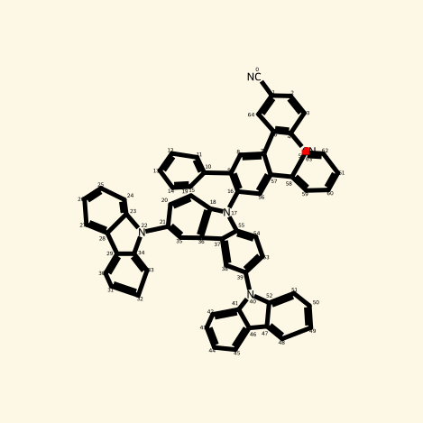 N#Cc1ccc(C#N)c(-c2cc(-c3ccccc3)c(-n3c4ccc(-n5c6ccccc6c6ccccc65)cc4c4cc(-n5c6ccccc6c6ccccc65)ccc43)cc2-c2ccccc2)c1